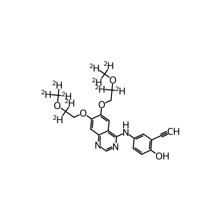 [2H]C([2H])([2H])OC([2H])([2H])COc1cc2ncnc(Nc3ccc(O)c(C#C)c3)c2cc1OCC([2H])([2H])OC([2H])([2H])[2H]